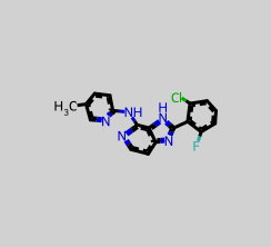 Cc1ccc(Nc2nccc3nc(-c4c(F)cccc4Cl)[nH]c23)nc1